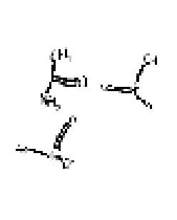 CC(N)=O.O=[N+]([O-])O.O=[N+]([O-])[Ag]